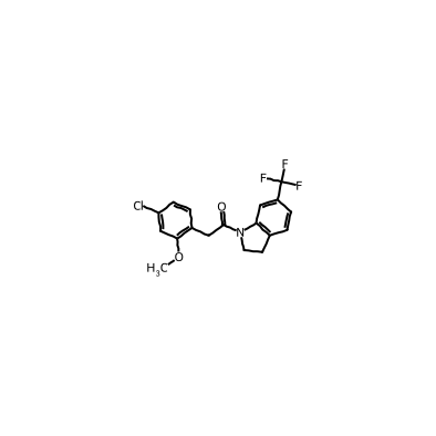 COc1cc(Cl)ccc1CC(=O)N1CCc2ccc(C(F)(F)F)cc21